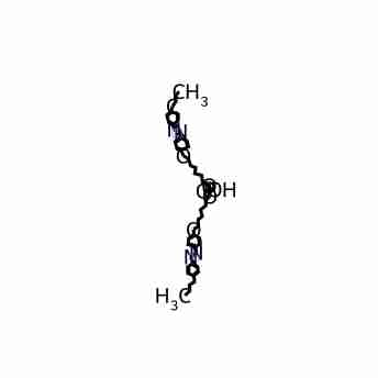 CCCCc1ccc(/N=N/c2ccc(OCCCCCCOP(=O)(O)OCCCCCCOc3ccc(/N=N/c4ccc(CCCC)cc4)cc3)cc2)cc1